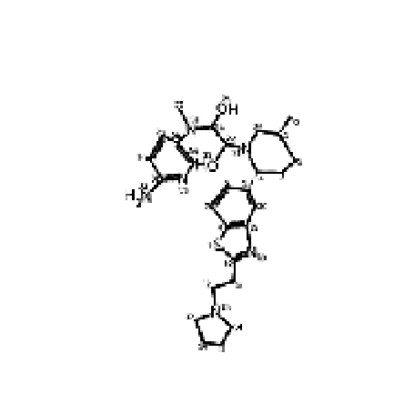 C[C@H]1CC[C@H](c2ccc3sc(CCN4CCCC4)nc3c2)N(C(O)C(O)N(C)c2ccc(N)nc2)C1